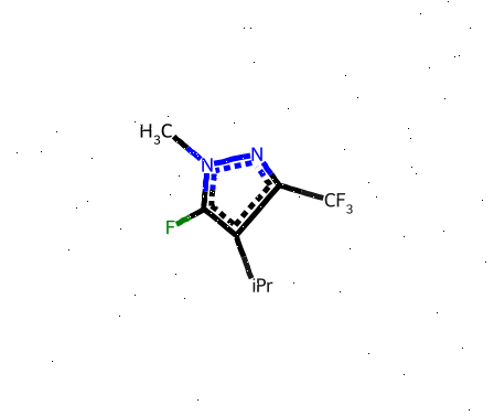 CC(C)c1c(C(F)(F)F)nn(C)c1F